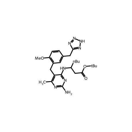 CCCCC(CC(=O)OC(C)(C)C)Nc1nc(N)nc(C)c1Cc1cc(Cc2nn[nH]n2)ccc1OC